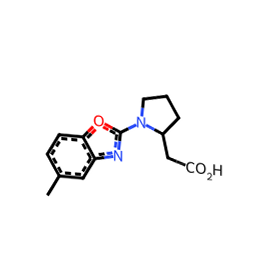 Cc1ccc2oc(N3CCCC3CC(=O)O)nc2c1